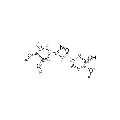 COc1ccc(-c2cc(-c3cc(C)c(OC)c(OC)c3)no2)cc1O